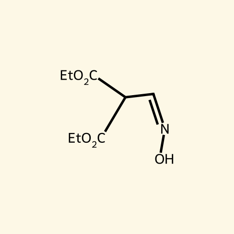 CCOC(=O)C(/C=N\O)C(=O)OCC